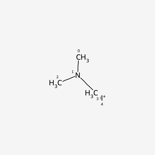 CN(C)C.[I+]